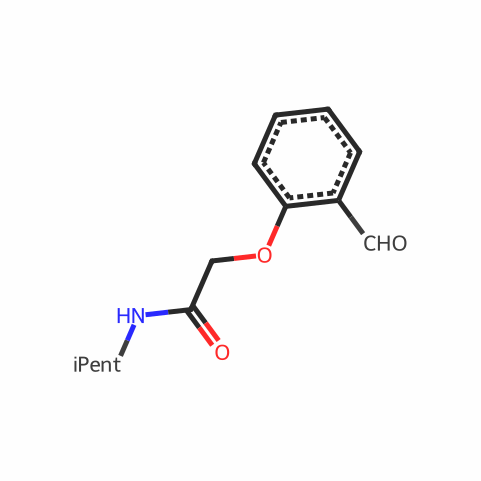 CCCC(C)NC(=O)COc1ccccc1C=O